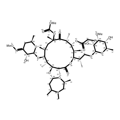 CON=C1C[C@@H](C)O[C@@H](O[C@@H]2[C@@H](C)[C@H](O[C@H]3CC(C)N(C)C[C@H](C)O3)[C@@H](C)C(=O)O[C@H]([C@@H](C)CO[C@@H]3O[C@H](C)[C@@H](O)[C@@H](OC)[C@H]3OC)[C@H](C)[C@@H](OC(=O)CC(C)C)[C@@H](C)C(=O)[C@@](C)(OC(=O)OC)C[C@@H]2C)[C@@H]1O